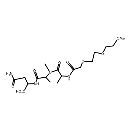 COCCOCCOCC(=O)NC(C)C(=O)N(C)C(C)C(=O)NC(CC(N)=O)C(=O)O